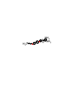 CCCCCCCC1CCC(C2CCC(c3ccc(OC(=O)c4cc(N)cc(N)c4)cc3)CC2)CC1